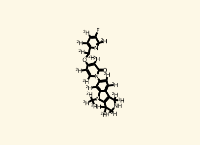 [2H]c1nc(C([2H])([2H])Oc2c([2H])c([2H])n(-c3c([2H])c([2H])c4c5c(n(C([2H])([2H])[2H])c4c3[2H])C([2H])([2H])C([2H])([2H])NC5([2H])[2H])c(=O)c2[2H])c([2H])c([2H])c1F